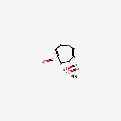 C1=C\CC/C=C\CC/1.[C]=O.[C]=O.[C]=O.[Fe]